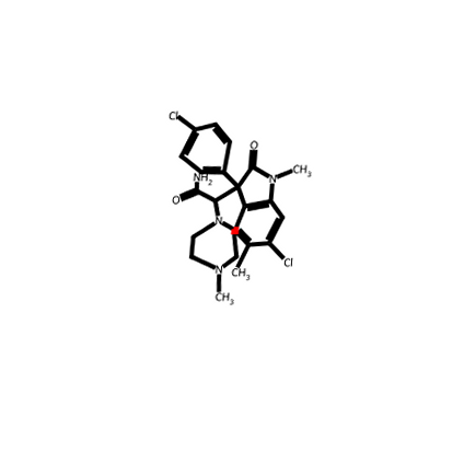 Cc1cc2c(cc1Cl)N(C)C(=O)C2(c1ccc(Cl)cc1)C(C(N)=O)N1CCN(C)CC1